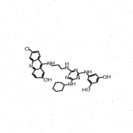 Oc1cc(O)cc(Nc2nc(NCCCNc3c4ccc(Cl)cc4nc4ccc(O)cc34)nc(NC3CCCCC3)n2)c1